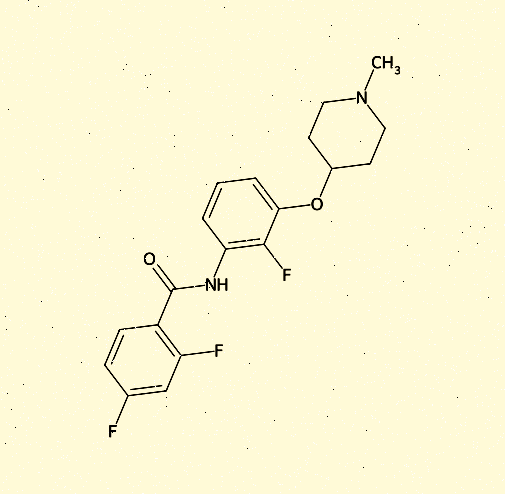 CN1CCC(Oc2cccc(NC(=O)c3ccc(F)cc3F)c2F)CC1